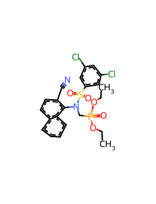 CCOP(=O)(CN(c1c(C#N)ccc2ccccc12)S(=O)(=O)c1cc(Cl)cc(Cl)c1)OCC